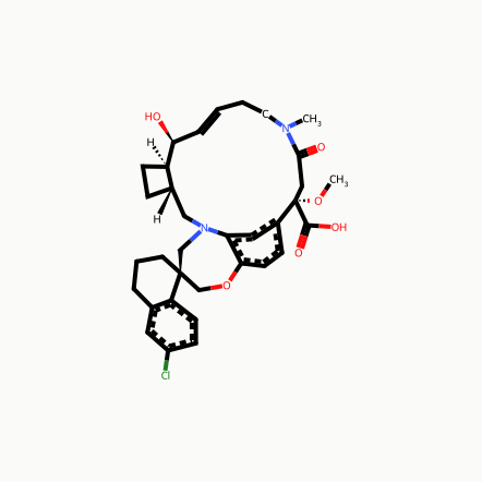 CO[C@@]1(C(=O)O)CC(=O)N(C)CC/C=C/[C@H](O)[C@@H]2CC[C@H]2CN2C[C@@]3(CCCc4cc(Cl)ccc43)COc3ccc1cc32